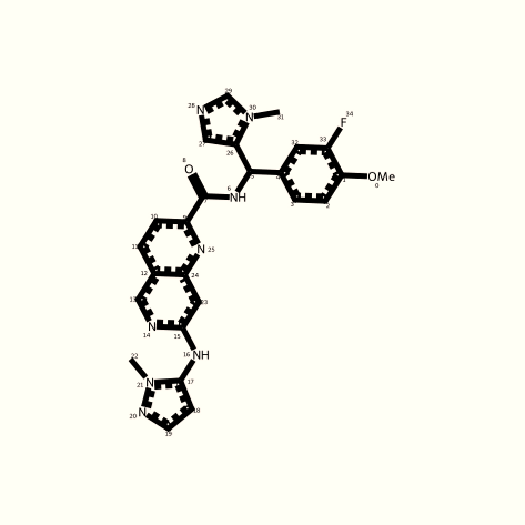 COc1ccc(C(NC(=O)c2ccc3cnc(Nc4ccnn4C)cc3n2)c2cncn2C)cc1F